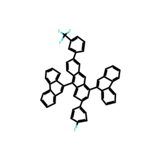 Fc1ccc(-c2cc(-c3cc4ccccc4c4ccccc34)c3cc4cc(-c5cccc(C(F)(F)F)c5)ccc4c(-c4cc5ccccc5c5ccccc45)c3c2)cc1